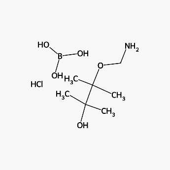 CC(C)(O)C(C)(C)OCN.Cl.OB(O)O